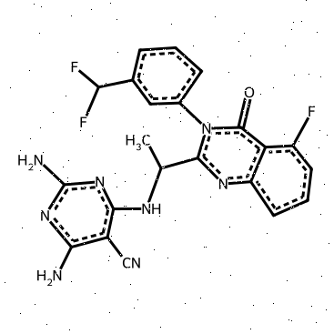 CC(Nc1nc(N)nc(N)c1C#N)c1nc2cccc(F)c2c(=O)n1-c1cccc(C(F)F)c1